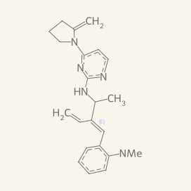 C=C/C(=C\c1ccccc1NC)C(C)Nc1nccc(N2CCCC2=C)n1